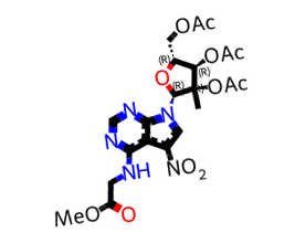 COC(=O)CNc1ncnc2c1c([N+](=O)[O-])cn2[C@@H]1O[C@H](COC(C)=O)[C@@H](OC(C)=O)[C@@]1(C)OC(C)=O